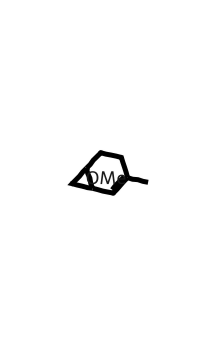 COC12CCC(C)=CC1C2